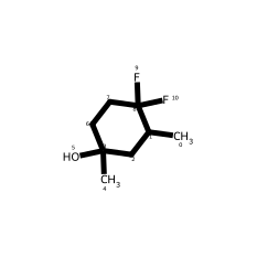 CC1CC(C)(O)CCC1(F)F